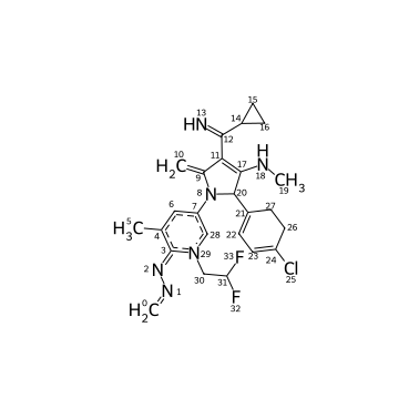 C=N/N=c1/c(C)cc(N2C(=C)C(C(=N)C3CC3)=C(NC)C2C2=CC=C(Cl)CC2)cn1CC(F)F